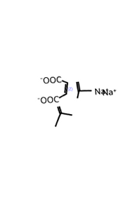 C=C(C)C.C=C(C)C.O=C([O-])/C=C\C(=O)[O-].[Na+].[Na+]